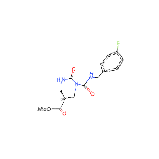 COC(=O)[C@@H](C)CN(C(N)=O)C(=O)NCc1ccc(F)cc1